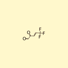 O=CC(=O)C=CC(F)(F)F